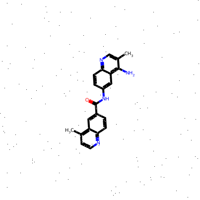 Cc1cnc2ccc(NC(=O)c3ccc4nccc(C)c4c3)cc2c1N